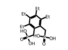 CCc1c(CC)c(CC)c(CP(=O)(O)O)c(CP(=O)(O)O)c1CC